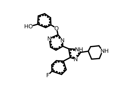 Oc1cccc(Oc2nccc(-c3[nH]c(C4CCNCC4)nc3-c3ccc(F)cc3)n2)c1